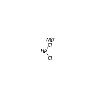 ClPCl.[Cl-].[Na+]